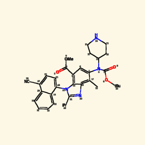 COC(=O)c1cc(N(C(=O)OC(C)(C)C)C2CCNCC2)c(C)c2nc(C(C)C)n(-c3ccc(C#N)c4ccccc34)c12